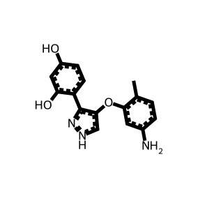 Cc1ccc(N)cc1Oc1c[nH]nc1-c1ccc(O)cc1O